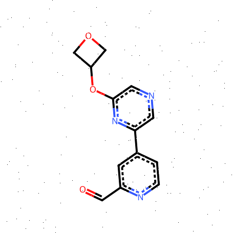 O=Cc1cc(-c2cncc(OC3COC3)n2)ccn1